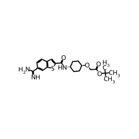 CC(C)(C)OC(=O)CO[C@H]1CC[C@H](NC(=O)c2cc3ccc(C(=N)N)cc3s2)CC1